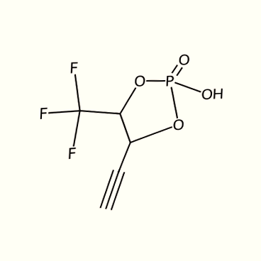 C#CC1OP(=O)(O)OC1C(F)(F)F